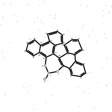 Clp1oc2c3ccccc3c3ccccc3c2c2c3ccccc3c3ccccc3c2o1